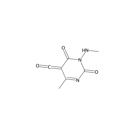 CNN1C(=O)N=C(C)C(=C=O)C1=O